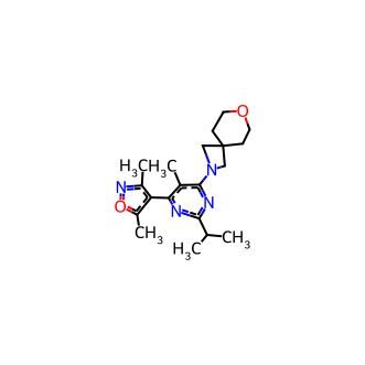 Cc1noc(C)c1-c1nc(C(C)C)nc(N2CC3(CCOCC3)C2)c1C